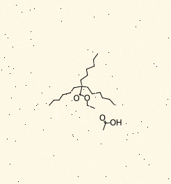 CC(=O)O.CCCCCCC(CCCCCC)(CCCCCC)C(=O)OCC